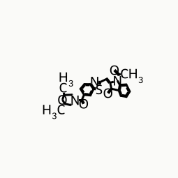 CC(=O)N1/C(=C/c2nc3ccc(C(=O)N4CC(C)OC(C)C4)cc3s2)C(=O)c2ccccc21